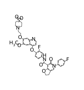 COc1cc2c(Oc3ccc(NC(=O)c4c5c(cn(-c6ccc(F)cc6)c4=O)CCO5)cc3F)ccnc2cc1OCCN1CCS(=O)(=O)CC1